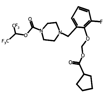 O=C(OCOc1c(F)cccc1CN1CCN(C(=O)OC(C(F)(F)F)C(F)(F)F)CC1)C1CCCC1